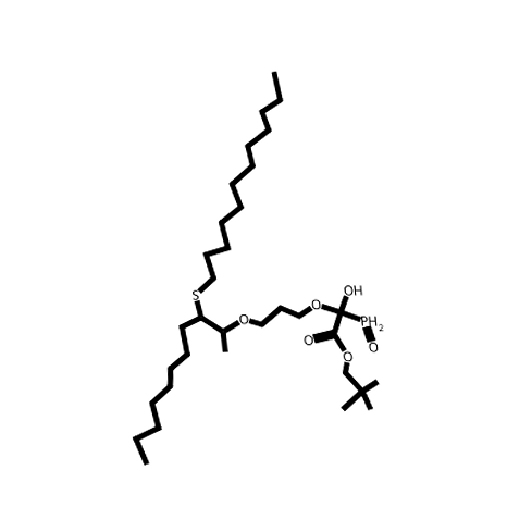 CCCCCCCCCCCCSC(CCCCCCCC)C(C)OCCCOC(O)([PH2]=O)C(=O)OCC(C)(C)C